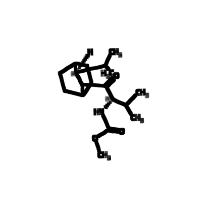 COC(=O)N[C@H](C(=O)C1C2CCC(CC2)[C@H]1C(C)C)C(C)C